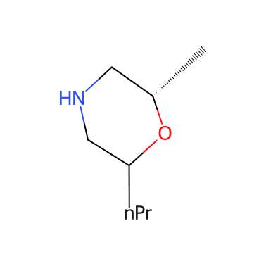 CCCC1CNC[C@H](C)O1